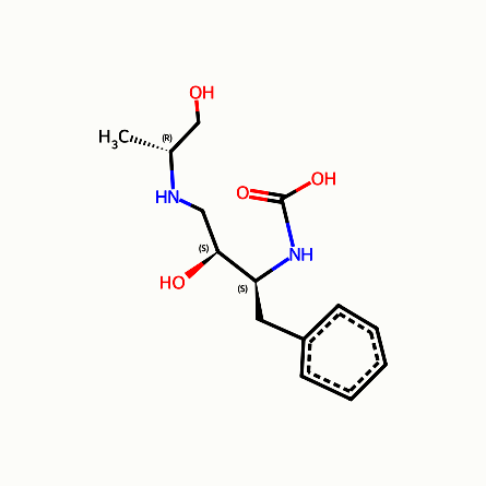 C[C@H](CO)NC[C@H](O)[C@H](Cc1ccccc1)NC(=O)O